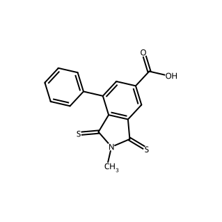 CN1C(=S)c2cc(C(=O)O)cc(-c3ccccc3)c2C1=S